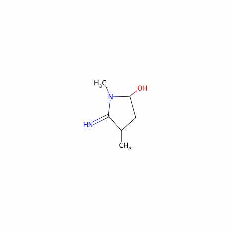 CC1CC(O)N(C)C1=N